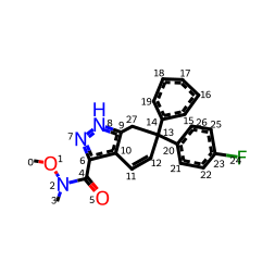 CON(C)C(=O)c1n[nH]c2c1C=CC(c1ccccc1)(c1ccc(F)cc1)C2